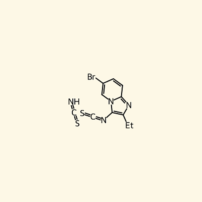 CCc1nc2ccc(Br)cn2c1N=C=S.N=C=S